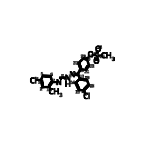 Cc1cc(Cl)ccc1N=CNN=C(c1ccc(Cl)cc1)c1ccc(OS(C)(=O)=O)cc1